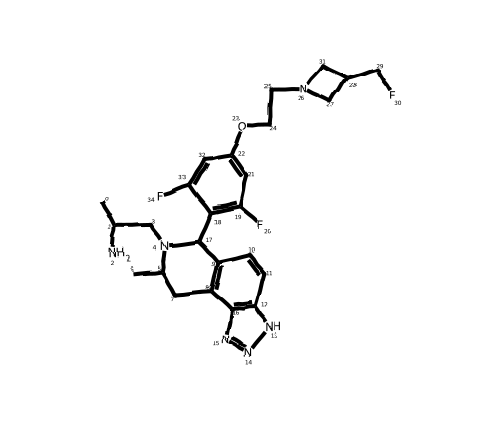 CC(N)CN1C(C)Cc2c(ccc3[nH]nnc23)C1c1c(F)cc(OCCN2CC(CF)C2)cc1F